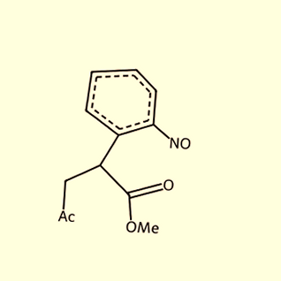 COC(=O)C(CC(C)=O)c1ccccc1N=O